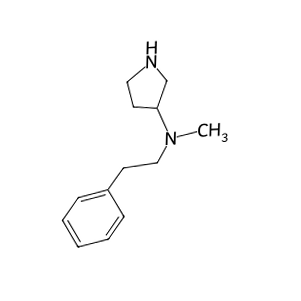 CN(CCc1ccccc1)C1CCNC1